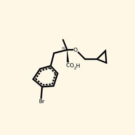 C[C@@](Cc1ccc(Br)cc1)(OCC1CC1)C(=O)O